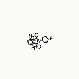 O=C1[C@@H]2[C@H](C(=O)N1c1ccc(F)cc1)[C@@H]1C=C[C@H]2C1